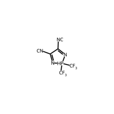 [C-]#[N+]C1=N[PH](C(F)(F)F)(C(F)(F)F)N=C1[N+]#[C-]